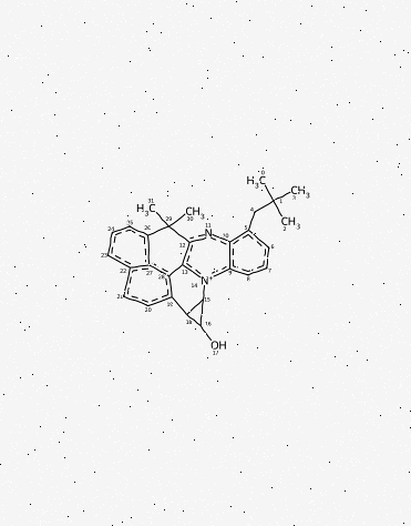 CC(C)(C)Cc1cccc2c1nc1c3[n+]2C2C(O)C2c2ccc4cccc(c4c2-3)C1(C)C